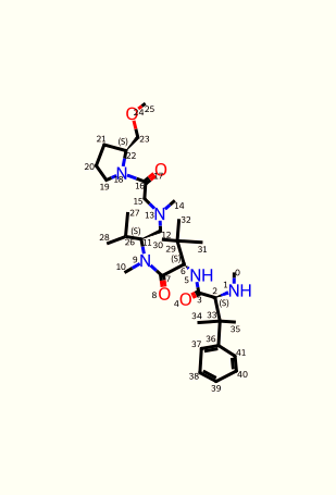 CN[C@H](C(=O)N[C@H](C(=O)N(C)[C@H](CN(C)CC(=O)N1CCC[C@H]1COC)C(C)C)C(C)(C)C)C(C)(C)c1ccccc1